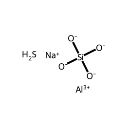 S.[Al+3].[Na+].[O-][Si]([O-])([O-])[O-]